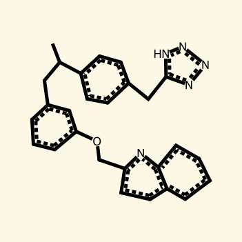 CC(Cc1cccc(OCc2ccc3ccccc3n2)c1)c1ccc(Cc2nnn[nH]2)cc1